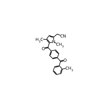 Cc1ccccc1C(=O)c1ccc(C(=O)c2c(C)cc(CC#N)n2C)cc1